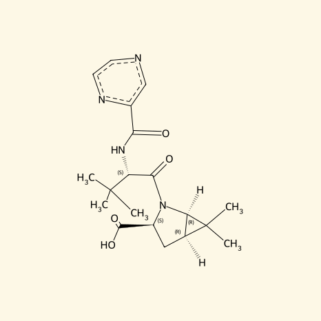 CC(C)(C)[C@H](NC(=O)c1cnccn1)C(=O)N1[C@H](C(=O)O)C[C@H]2[C@@H]1C2(C)C